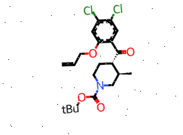 C=CCOc1cc(Cl)c(Cl)cc1C(=O)[C@H]1CCN(C(=O)OC(C)(C)C)C[C@@H]1C